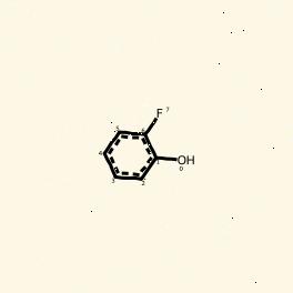 Oc1[c]cccc1F